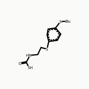 CCC(C)Sc1ccc(SCCNC(=O)S)cc1